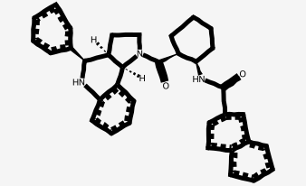 O=C(N[C@@H]1CCCC[C@@H]1C(=O)N1CC[C@@H]2[C@H](c3ccccc3)Nc3ccccc3[C@@H]21)c1ccc2ccccc2c1